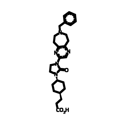 O=C(O)CC[C@H]1CC[C@H](N2CCN(c3cnc4c(n3)CCN(Cc3ccccc3)CC4)C2=O)CC1